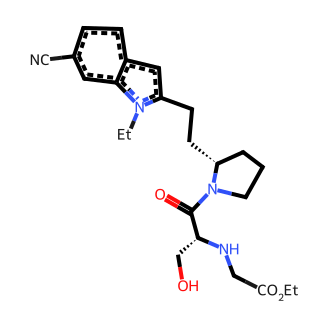 CCOC(=O)CN[C@H](CO)C(=O)N1CCC[C@H]1CCc1cc2ccc(C#N)cc2n1CC